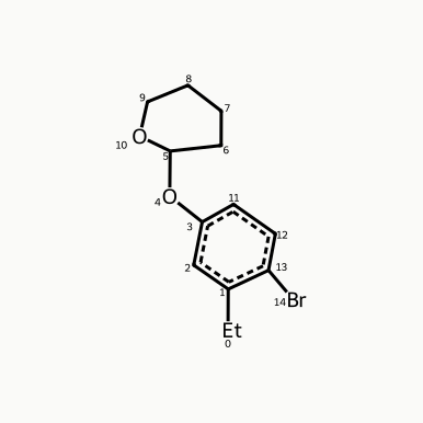 CCc1cc(OC2CCCCO2)ccc1Br